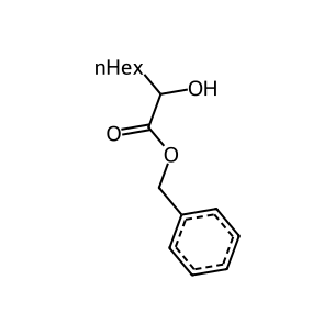 CCCCCCC(O)C(=O)OCc1ccccc1